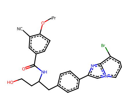 CC(C)Oc1ccc(C(=O)NC(CCO)Cc2ccc(-c3cn4cccc(Br)c4n3)cc2)cc1C#N